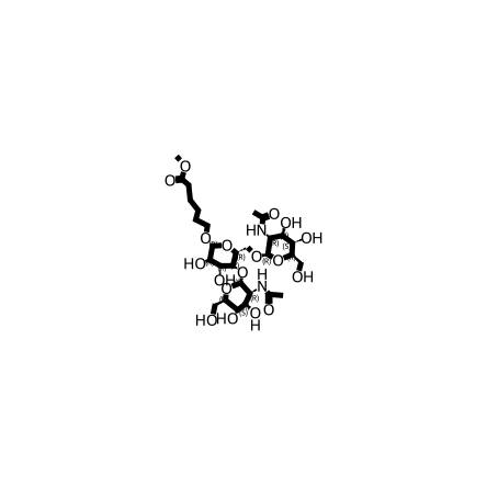 COC(=O)CCCCCO[C@@H]1O[C@H](CO[C@@H]2O[C@H](CO)[C@@H](O)[C@H](O)[C@H]2NC(C)=O)[C@H](O[C@@H]2O[C@H](CO)[C@@H](O)[C@H](O)[C@H]2NC(C)=O)[C@H](O)[C@H]1O